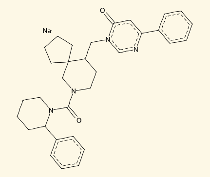 O=C(N1CCC(Cn2cnc(-c3ccccc3)cc2=O)C2(CCCC2)C1)N1CCCCC1c1ccccc1.[Na]